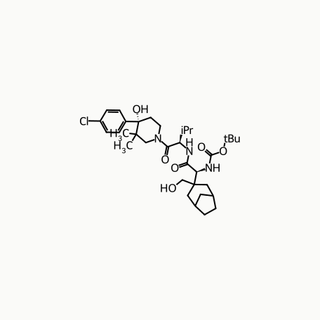 CC(C)[C@@H](NC(=O)[C@@H](NC(=O)OC(C)(C)C)C1(CO)CC2CCC(C2)C1)C(=O)N1CC[C@](O)(c2ccc(Cl)cc2)C(C)(C)C1